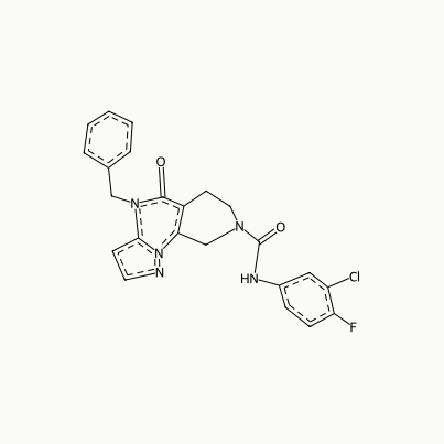 O=C(Nc1ccc(F)c(Cl)c1)N1CCc2c(n3nccc3n(Cc3ccccc3)c2=O)C1